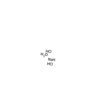 Cl.Cl.O.[NaH]